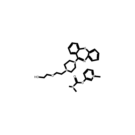 CN(C)C(=O)Oc1ccc[n+](C)c1.OCCOCCN1CCN(C2=Nc3ccccc3Sc3ccccc32)CC1